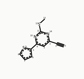 C#Cc1cc(-c2cccs2)nc(SC)n1